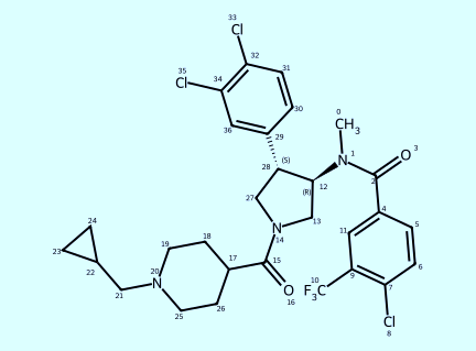 CN(C(=O)c1ccc(Cl)c(C(F)(F)F)c1)[C@H]1CN(C(=O)C2CCN(CC3CC3)CC2)C[C@@H]1c1ccc(Cl)c(Cl)c1